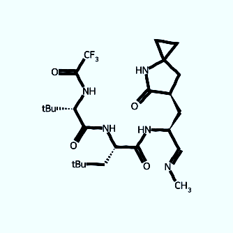 C/N=C/[C@H](C[C@@H]1CC2(CC2)NC1=O)NC(=O)[C@H](CC(C)(C)C)NC(=O)[C@@H](NC(=O)C(F)(F)F)C(C)(C)C